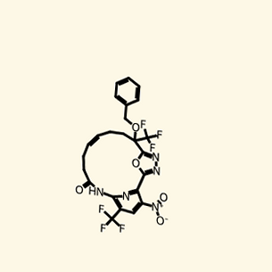 O=C1CCC=CCCC(OCc2ccccc2)(C(F)(F)F)c2nnc(o2)-c2nc(c(C(F)(F)F)cc2[N+](=O)[O-])N1